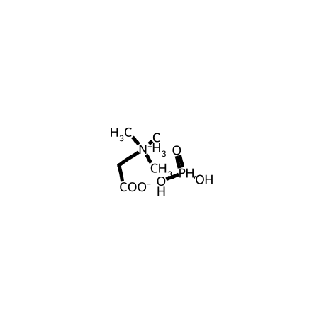 C[N+](C)(C)CC(=O)[O-].O=[PH](O)O